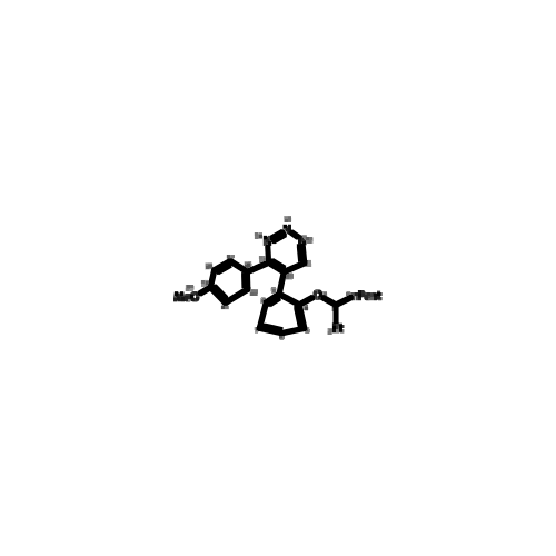 CCCCCC(CC)Oc1ccccc1-c1cnnnc1-c1ccc(OC)cc1